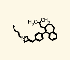 CC(C)CC1=C(c2ccc(C=C3CN(CCCF)C3)cc2)c2ccccc2CCC1